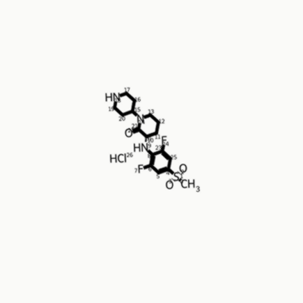 CS(=O)(=O)c1cc(F)c(N[C@H]2CCCN(C3CCNCC3)C2=O)c(F)c1.Cl